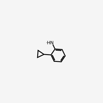 [NH]c1ccccc1C1CC1